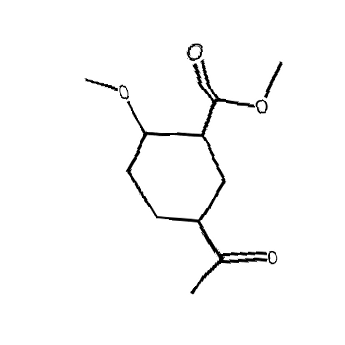 COC(=O)C1CC(C(C)=O)CCC1OC